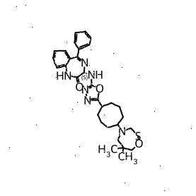 CC1(C)COSCN(C2CCCC(c3nnc(N[C@H]4N=C(c5ccccc5)c5ccccc5NC4=O)o3)CCC2)C1